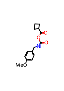 COc1ccc(CNC(=O)OC(=O)C2CCC2)cc1